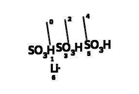 CS(=O)(=O)O.CS(=O)(=O)O.CS(=O)(=O)O.[Li]